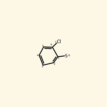 [S]c1ccccc1Cl